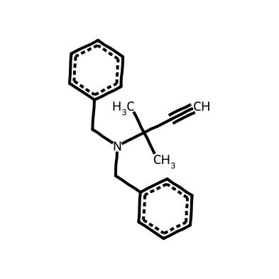 C#CC(C)(C)N(Cc1ccccc1)Cc1ccccc1